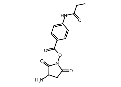 CCC(=O)Nc1ccc(C(=O)ON2C(=O)CC(N)C2=O)cc1